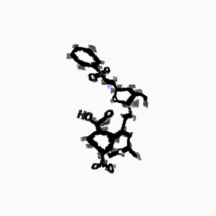 C=C=C(C)CC(CC[C@@H]1O[C@@H](/C=C/S(=O)(=O)c2ccccc2)CC1=C)c1cc([N+](=O)[O-])ccc1C(=O)O